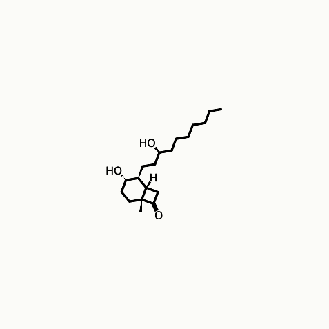 CCCCCCC[C@H](O)CC[C@@H]1[C@@H](O)CC[C@@]2(C)C(=O)C[C@@H]12